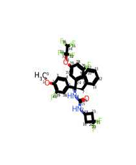 COc1ccc([C@@](Cc2ccccc2)(NC(=O)NC2CC(F)(F)C2)c2cc(F)cc(OC(F)(F)C(F)F)c2)cc1F